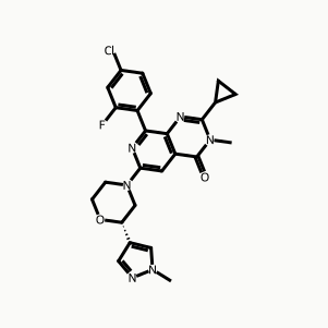 Cn1cc([C@H]2CN(c3cc4c(=O)n(C)c(C5CC5)nc4c(-c4ccc(Cl)cc4F)n3)CCO2)cn1